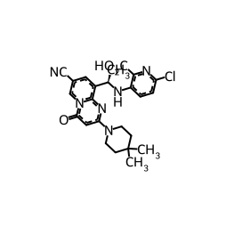 C[C@@H](Nc1ccc(Cl)nc1C(=O)O)c1cc(C#N)cn2c(=O)cc(N3CCC(C)(C)CC3)nc12